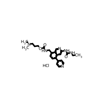 CCNC(=O)Nc1cc2c(-c3ccncc3)ccc(CNC(=O)OCCCN(C)C)c2cn1.Cl